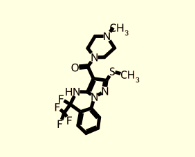 CSc1nn2c(c1C(=O)N1CCN(C)CC1)NC(F)(C(F)(F)F)c1ccccc1-2